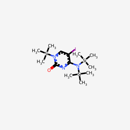 C[Si](C)(C)N(c1nc(=O)n([Si](C)(C)C)cc1I)[Si](C)(C)C